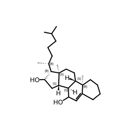 CC(C)CCC[C@@H](C)[C@H]1C(O)C[C@H]2[C@@H]3C(O)C=C4CCCC[C@]4(C)[C@H]3CC[C@]12C